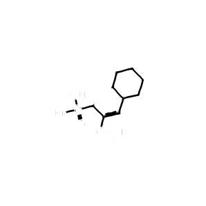 CCP(=O)(O)CC(=CC1CCCCC1)C(=O)O